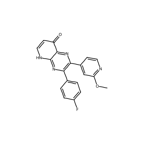 COc1cc(-c2nc3c(=O)cc[nH]c3nc2-c2ccc(F)cc2)ccn1